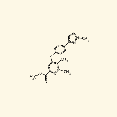 COC(=O)c1cc(Cc2ccc(-c3ccn(C)n3)cc2)c(C)c(C)n1